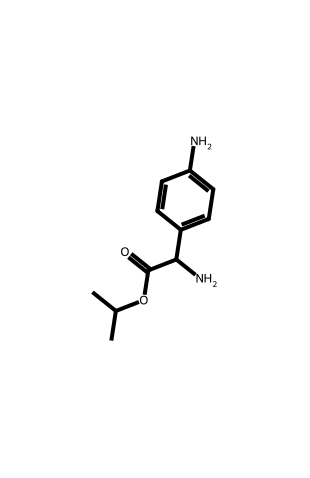 CC(C)OC(=O)C(N)c1ccc(N)cc1